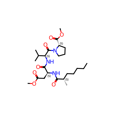 CCCCC[C@H](C)C(=O)N[C@@H](CC(=O)OC)C(=O)N[C@H](C(=O)N1CCC[C@H]1C(=O)OC)C(C)C